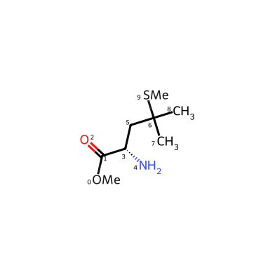 COC(=O)[C@@H](N)CC(C)(C)SC